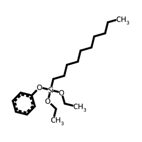 CCCCCCCCCC[Si](OCC)(OCC)Oc1ccccc1